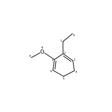 CCC1=CCCC=C1OC